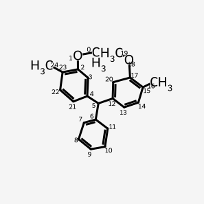 COc1cc(C(c2ccccc2)c2ccc(C)c(OC)c2)ccc1C